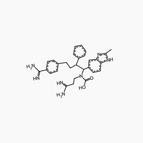 Cc1nc2cc(C(C(CCc3ccc(C(=N)N)cc3)c3ccccc3)N(CCC(=N)N)C(=O)O)ccc2[nH]1